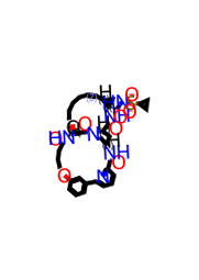 O=C1CCCOc2cccc(c2)-c2cccc(n2)C(=O)N[C@@H]2C[C@H]3C(=O)N[C@]4(C(=O)NS(=O)(=O)C5CC5)C[C@H]4/C=C\CCCCC[C@H](N1)C(=O)N3C2